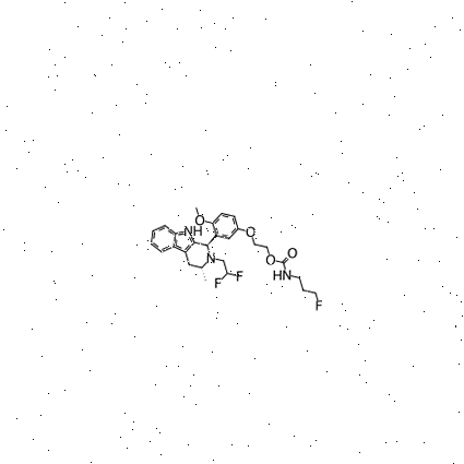 COc1ccc(OCCOC(=O)NCCCF)cc1[C@@H]1c2[nH]c3ccccc3c2C[C@@H](C)N1CC(F)F